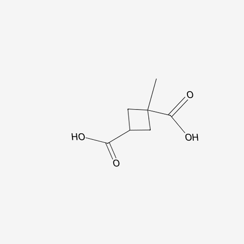 CC1(C(=O)O)CC(C(=O)O)C1